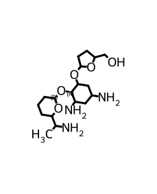 CC(N)C1CCC[C@@H](O[C@@H]2C(N)CC(N)CC2OC2CCC(CO)O2)O1